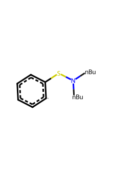 CCCCN(CCCC)Sc1[c]cccc1